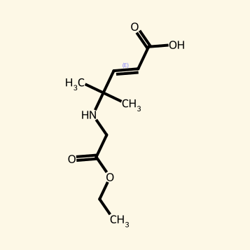 CCOC(=O)CNC(C)(C)/C=C/C(=O)O